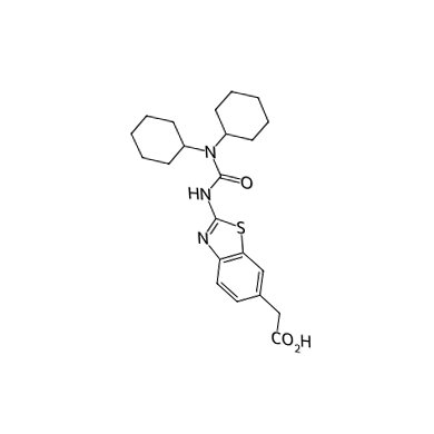 O=C(O)Cc1ccc2nc(NC(=O)N(C3CCCCC3)C3CCCCC3)sc2c1